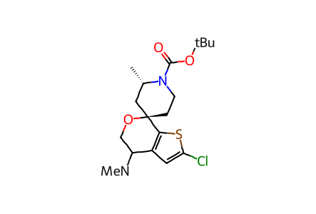 CNC1CO[C@@]2(CCN(C(=O)OC(C)(C)C)[C@@H](C)C2)c2sc(Cl)cc21